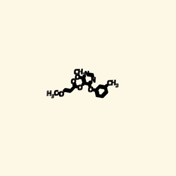 COC=CC(=O)Oc1c(OC)ncnc1Oc1cccc(C)c1